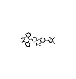 Cc1nc(-c2ccc(N3CCN(C4c5ccccc5NC(=O)c5ccccc54)CC3)c(C#N)c2)cn1C